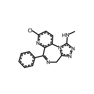 CNc1nnc2n1-c1ccc(Cl)nc1C(c1ccccc1)=NC2